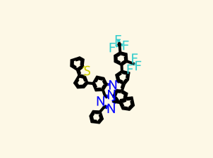 FC(F)(F)c1ccc(-c2ccc3c4ccccc4n(-c4ccc(-c5cccc6c5sc5ccccc56)cc4-c4nc(-c5ccccc5)nc(-c5ccccc5)n4)c3c2)c(C(F)(F)F)c1